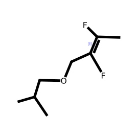 C/C(F)=C(\F)COCC(C)C